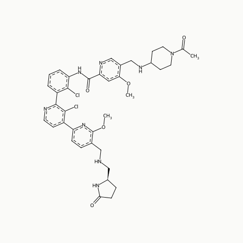 COc1cc(C(=O)Nc2cccc(-c3nccc(-c4ccc(CNC[C@H]5CCC(=O)N5)c(OC)n4)c3Cl)c2Cl)ncc1CNC1CCN(C(C)=O)CC1